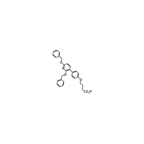 O=C(O)CCCOc1ccc(-c2ccc(OCc3ccccc3)nc2OCc2ccccc2)cc1